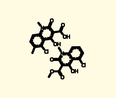 COC(=O)c1c(O)c2c(Cl)cccc2n(C)c1=O.Cc1ccc2c(c(O)c(C(=O)O)c(=O)n2C)c1Cl